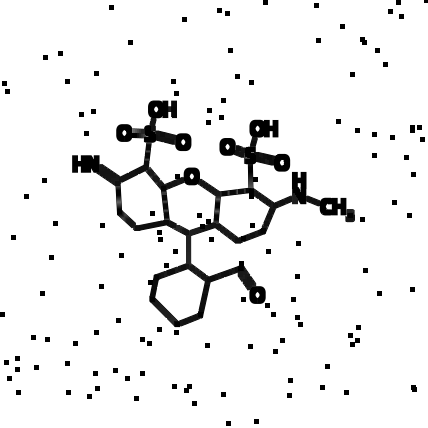 CNC1CCC2C(OC3C(CCC(=N)C3S(=O)(=O)O)C2C2CCCCC2C=O)C1S(=O)(=O)O